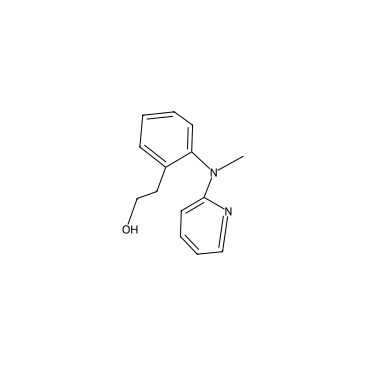 CN(c1ccccn1)c1ccccc1CCO